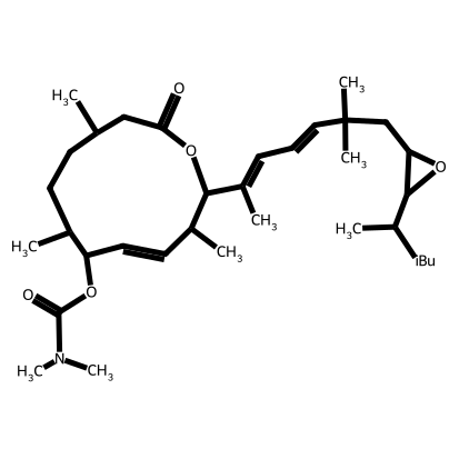 CCC(C)C(C)C1OC1CC(C)(C)/C=C/C=C(\C)C1OC(=O)CC(C)CCC(C)C(OC(=O)N(C)C)/C=C/C1C